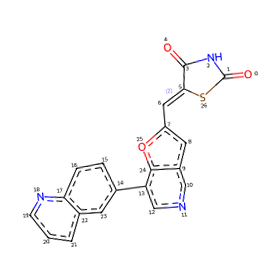 O=C1NC(=O)/C(=C/c2cc3cncc(-c4ccc5ncccc5c4)c3o2)S1